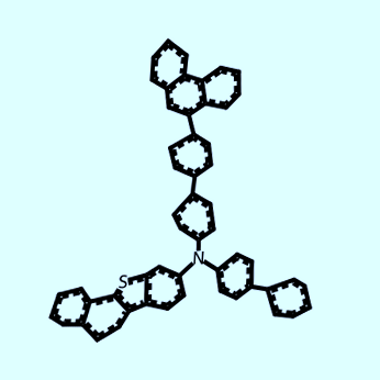 c1ccc(-c2ccc(N(c3ccc(-c4ccc(-c5cc6ccccc6c6ccccc56)cc4)cc3)c3ccc4c(c3)sc3c5ccccc5ccc43)cc2)cc1